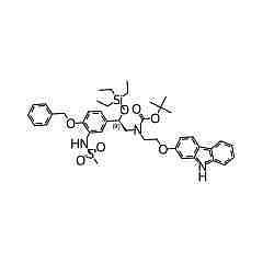 CC[Si](CC)(CC)O[C@@H](CN(CCOc1ccc2c(c1)[nH]c1ccccc12)C(=O)OC(C)(C)C)c1ccc(OCc2ccccc2)c(NS(C)(=O)=O)c1